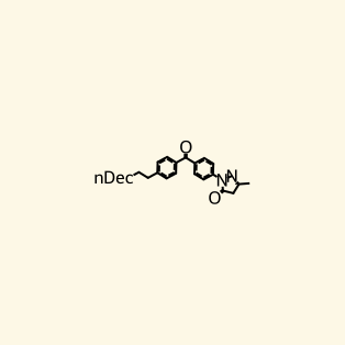 CCCCCCCCCCCCc1ccc(C(=O)c2ccc(N3N=C(C)CC3=O)cc2)cc1